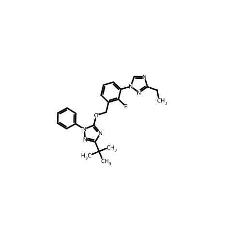 CCc1ncn(-c2cccc(COc3nc(C(C)(C)C)nn3-c3ccccc3)c2F)n1